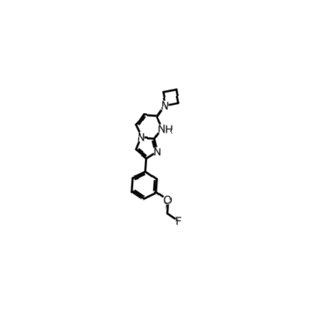 FCOc1cccc(-c2cn3c(n2)NC(N2CCC2)C=C3)c1